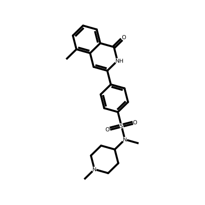 Cc1cccc2c(=O)[nH]c(-c3ccc(S(=O)(=O)N(C)C4CCN(C)CC4)cc3)cc12